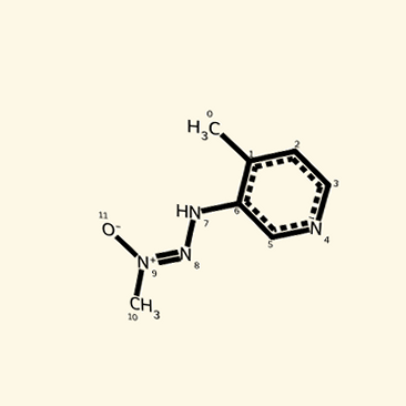 Cc1ccncc1NN=[N+](C)[O-]